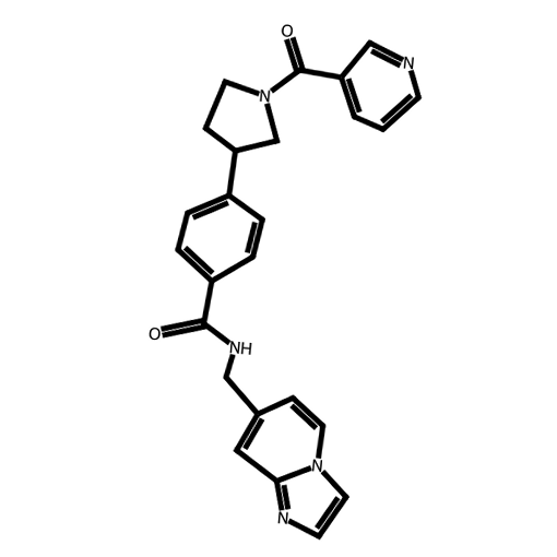 O=C(NCc1ccn2ccnc2c1)c1ccc(C2CCN(C(=O)c3cccnc3)C2)cc1